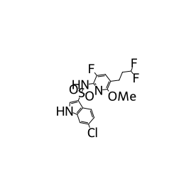 COc1nc(NS(=O)(=O)c2c[nH]c3cc(Cl)ccc23)c(F)cc1CCC(F)F